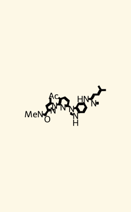 C=N/C(=C\C=C(C)C)Nc1ccc2c(c1)N(c1ccc(C(C)=O)c(-n3nc(C(=O)NC)cc3C)n1)CN2